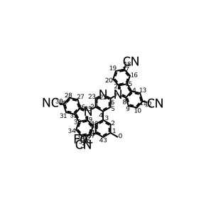 Cc1cc(-c2cc(-n3c4ccc(C#N)cc4c4cc(C#N)ccc43)ncc2-n2c3ccc(C#N)cc3c3cc(C#N)ccc32)cc(C(F)(F)F)c1